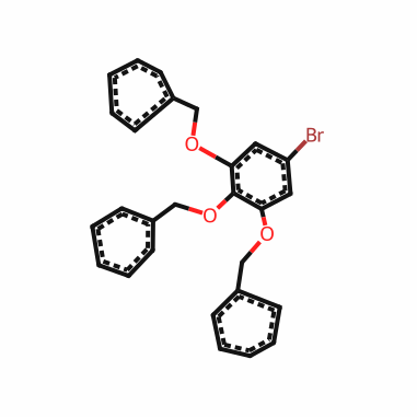 Brc1cc(OCc2ccccc2)c(OCc2ccccc2)c(OCc2ccccc2)c1